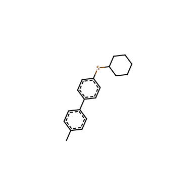 Cc1ccc(-c2ccc(SC3CCCCC3)cc2)cc1